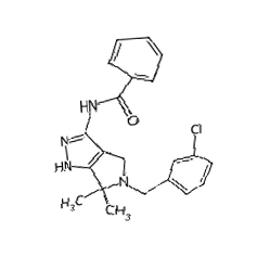 CC1(C)c2[nH]nc(NC(=O)c3ccccc3)c2CN1Cc1cccc(Cl)c1